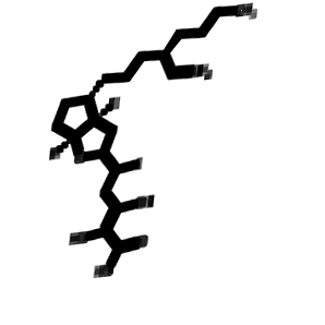 C=C[C@H](CCCC)CCC[C@H]1CC[C@@H]2OC(C(I)CC(O)=C(O)C(=O)O)C[C@H]12